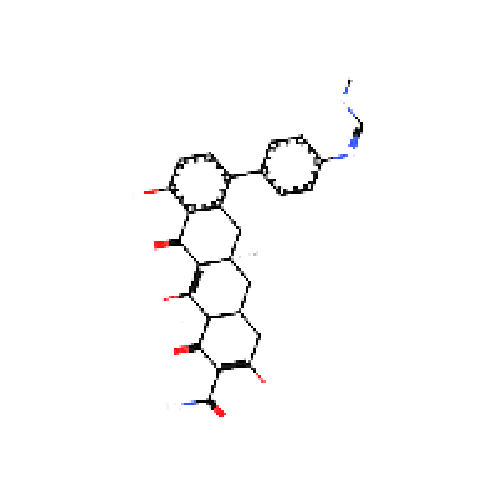 CN/C=N\c1ccc(-c2ccc(O)c3c2C[C@H]2CC4CC(O)=C(C(N)=O)C(=O)[C@@]4(O)C(O)=C2C3=O)cc1